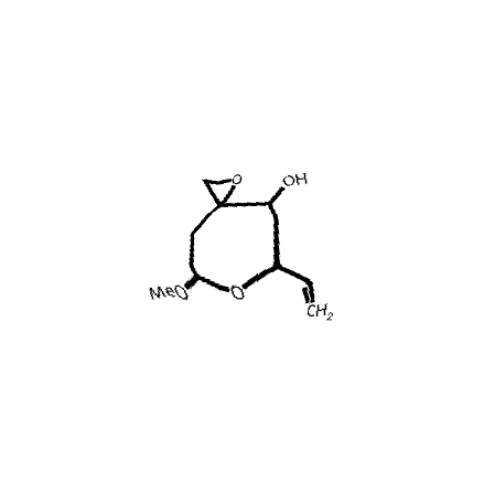 C=CC1OC(OC)CC2(CO2)C1O